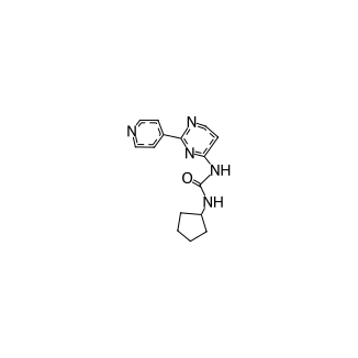 O=C(Nc1ccnc(-c2ccncc2)n1)NC1CCCC1